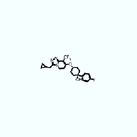 O[C@]1(c2ccc(F)cc2)CC[C@@H](Oc2ccn3c(CC4CC4)nnc3c2C(F)(F)F)CC1